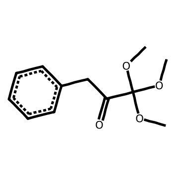 COC(OC)(OC)C(=O)Cc1ccccc1